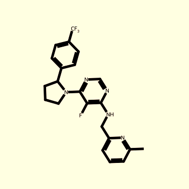 Cc1cccc(CNc2ncnc(N3CCCC3c3ccc(C(F)(F)F)cc3)c2F)n1